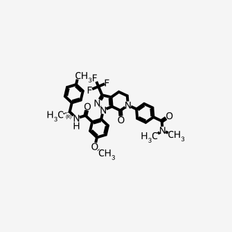 COc1ccc(-n2nc(C(F)(F)F)c3c2C(=O)N(c2ccc(C(=O)N(C)C)cc2)CC3)c(C(=O)N[C@H](C)c2ccc(C)cc2)c1